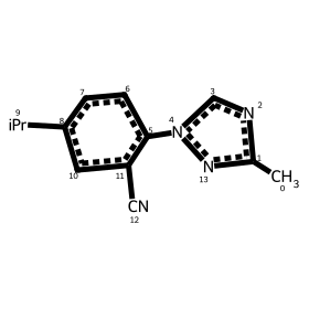 Cc1ncn(-c2ccc(C(C)C)cc2C#N)n1